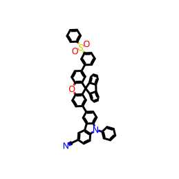 N#Cc1ccc2c(c1)c1cc(-c3ccc4c(c3)C3(c5cc(-c6cccc(S(=O)(=O)c7ccccc7)c6)ccc5O4)c4ccccc4-c4ccccc43)ccc1n2-c1ccccc1